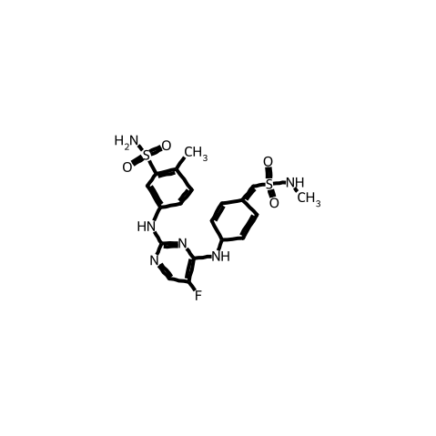 CNS(=O)(=O)C=C1C=CC(Nc2nc(Nc3ccc(C)c(S(N)(=O)=O)c3)ncc2F)C=C1